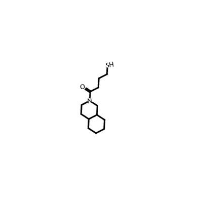 O=C(CCCS)N1CCC2CCCCC2C1